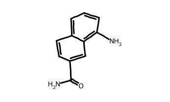 NC(=O)c1ccc2cccc(N)c2c1